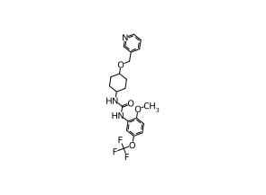 COc1ccc(OC(F)(F)F)cc1NC(=O)NC1CCC(OCc2cccnc2)CC1